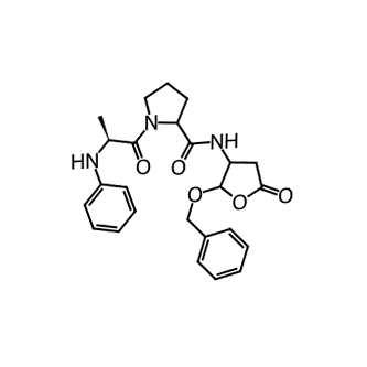 C[C@H](Nc1ccccc1)C(=O)N1CCCC1C(=O)NC1CC(=O)OC1OCc1ccccc1